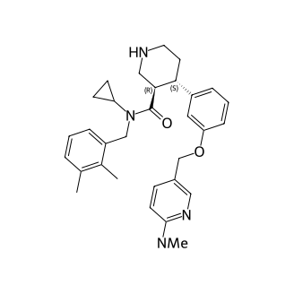 CNc1ccc(COc2cccc([C@H]3CCNC[C@@H]3C(=O)N(Cc3cccc(C)c3C)C3CC3)c2)cn1